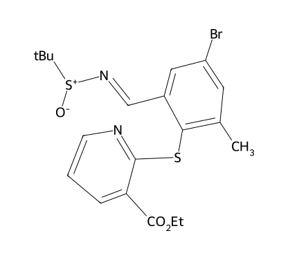 CCOC(=O)c1cccnc1Sc1c(C)cc(Br)cc1C=N[S+]([O-])C(C)(C)C